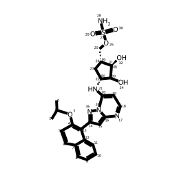 CC(C)Oc1ccc2ccccc2c1-c1cc2nccc(N[C@@H]3C[C@H](COS(N)(=O)=O)[C@@H](O)C3O)n2n1